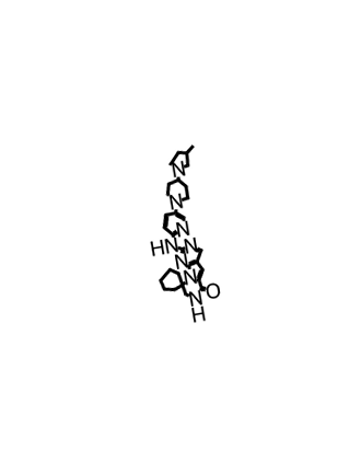 CC1CCN(C2CCN(c3ccc(Nc4ncc5cc6n(c5n4)C4(CCCCC4)CNC6=O)nc3)CC2)C1